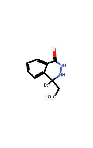 CCC1(CC(=O)O)NNC(=O)c2ccccc21